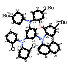 Cc1ccccc1N(c1cc2c3c(c1)N(c1cccc4ccccc14)c1ccc(C(C)(C)C)cc1B3c1cc(C(C)(C)C)ccc1N2c1ccc(C(C)(C)C)cc1)c1ccccc1C